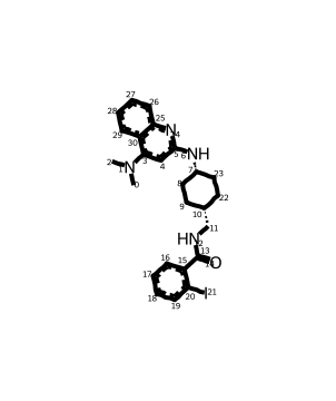 CN(C)c1cc(N[C@H]2CC[C@@H](CNC(=O)c3ccccc3I)CC2)nc2ccccc12